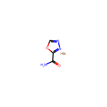 Br.NC(=O)c1nnco1